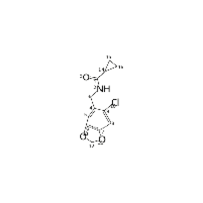 O=C(NCc1cc2c(cc1Cl)OCO2)C1CC1